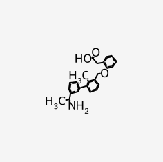 Cc1c(COc2ccccc2CC(=O)O)cccc1-c1cccc(C(C)N)c1